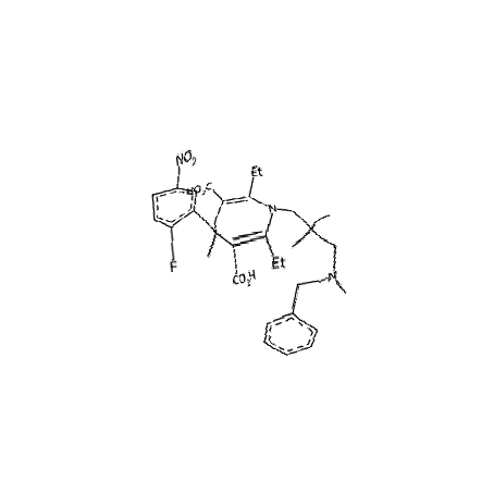 CCC1=C(C(=O)O)C(C)(c2cc([N+](=O)[O-])ccc2F)C(C(=O)O)=C(CC)N1CC(C)(C)CN(C)Cc1ccccc1